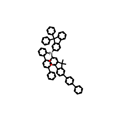 CC1(C)c2cc(-c3ccc(-c4ccccc4)cc3)ccc2-c2ccc(N(c3ccc4c(c3)C(c3ccccc3)(c3ccccc3)c3ccccc3-4)c3ccccc3-c3ccc(-c4ccccc4)cc3)cc21